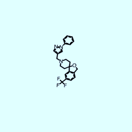 FC(F)(F)c1ccc2c(c1)C1(CCN(Cc3cnn(-c4ccccc4)c3)CC1)OC2